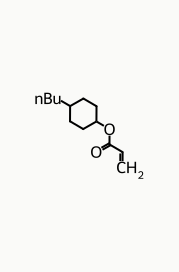 C=CC(=O)OC1CCC(CCCC)CC1